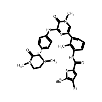 CCc1cc(C(=O)Nc2cccc(-c3cn(C)c(=O)c(Nc4ccc([C@H]5C(=O)N(C)CCN5C)cc4)n3)c2C)sc1[C@H](C)CC